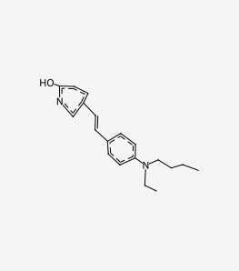 CCCCN(CC)c1ccc(/C=C/c2ccc(O)nc2)cc1